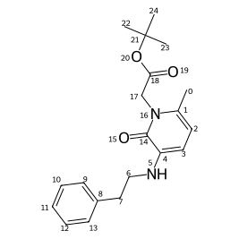 Cc1ccc(NCCc2ccccc2)c(=O)n1CC(=O)OC(C)(C)C